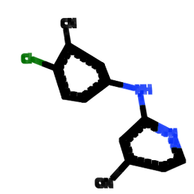 N#Cc1cc(Nc2cc(N=O)ccn2)ccc1Cl